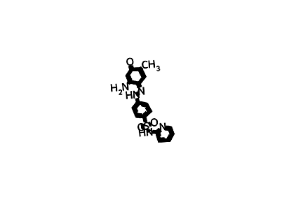 CC1=C/C(=N/Nc2ccc(S(=O)(=O)Nc3ccccn3)cc2)C(N)=CC1=O